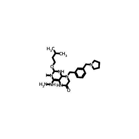 CC(C)CCOC1NC2C(=C(NN)N1I)NC(=O)CN2Cc1cccc(CN2CCCC2)c1